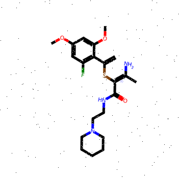 C=C(S/C(C(=O)NCCN1CCCCC1)=C(/C)N)c1c(F)cc(OC)cc1OC